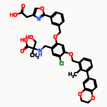 Cc1c(COc2cc(OCc3cccc(-c4nc(CC(=O)O)co4)c3)c(CN[C@@](C)(CO)C(=O)O)cc2Cl)cccc1-c1ccc2c(c1)OCCO2